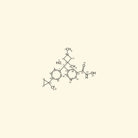 CN1CC(C)([C@](O)(c2ccc(C3(C(F)(F)F)CC3)cc2)c2cncc(C(=O)NO)c2)C1